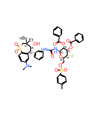 CCCC[C@]1(CC)CS(=O)(=O)c2ccc(N(C)C)cc2[C@@H](c2cccc(NC(=O)N[C@@H]3O[C@H](COS(=O)(=O)c4ccc(C)cc4)[C@@H](F)[C@H](OC(=O)c4ccccc4)[C@H]3OC(=O)c3ccccc3)c2)[C@H]1O